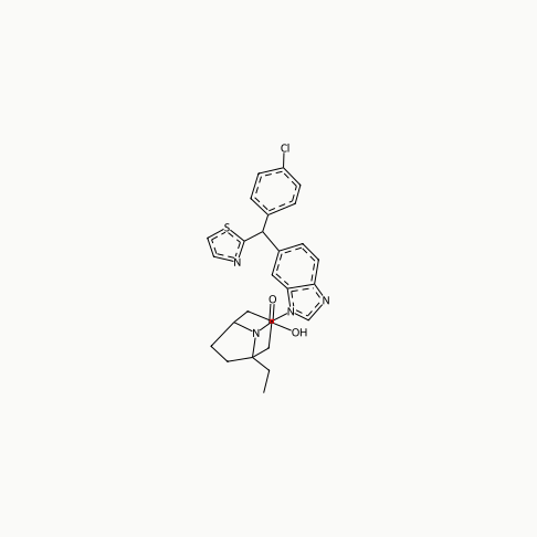 CCC12CCC(CC(n3cnc4ccc(C(c5ccc(Cl)cc5)c5nccs5)cc43)C1)N2C(=O)O